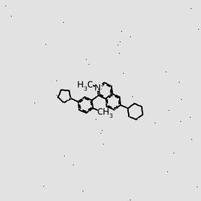 Cc1ccc(C2CCCC2)cc1-c1c2ccc(C3CCCCC3)cc2cc[n+]1C